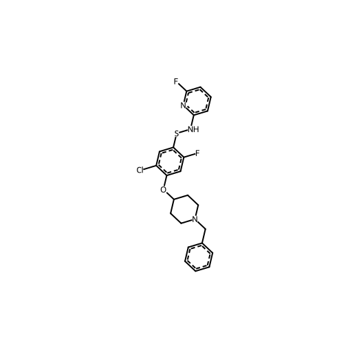 Fc1cccc(NSc2cc(Cl)c(OC3CCN(Cc4ccccc4)CC3)cc2F)n1